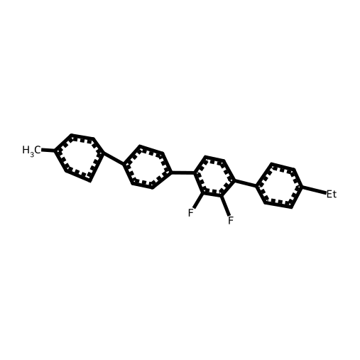 CCc1ccc(-c2ccc(-c3ccc(-c4ccc(C)cc4)cc3)c(F)c2F)cc1